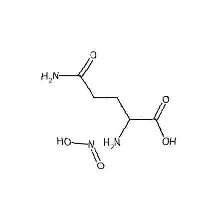 NC(=O)CCC(N)C(=O)O.O=NO